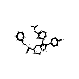 CC(C)Nc1nccc(-c2c(-c3ccc(F)cc3)nn3c2CC(C(=O)OCc2ccccc2)NC3)n1